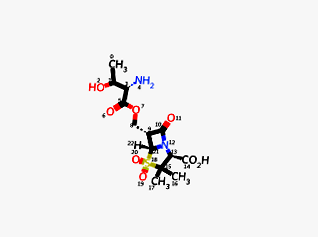 CC(O)[C@H](N)C(=O)OC[C@@H]1C(=O)N2[C@@H](C(=O)O)C(C)(C)S(=O)(=O)[C@H]12